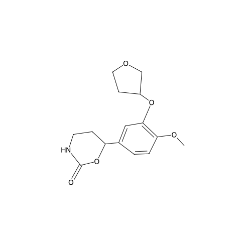 COc1ccc(C2CCNC(=O)O2)cc1OC1CCOC1